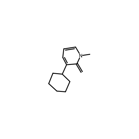 C=C1C(C2CCCCC2)=CC=CN1C